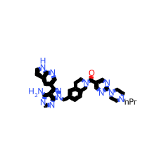 CCCN1CCN(c2ncc(C(=O)N3CCc4cc(Cn5nc(-c6cnc7[nH]ccc7c6)c6c(N)ncnc65)ccc4C3)cn2)CC1